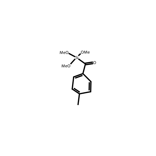 CO[Si](OC)(OC)C(=O)c1ccc(C)cc1